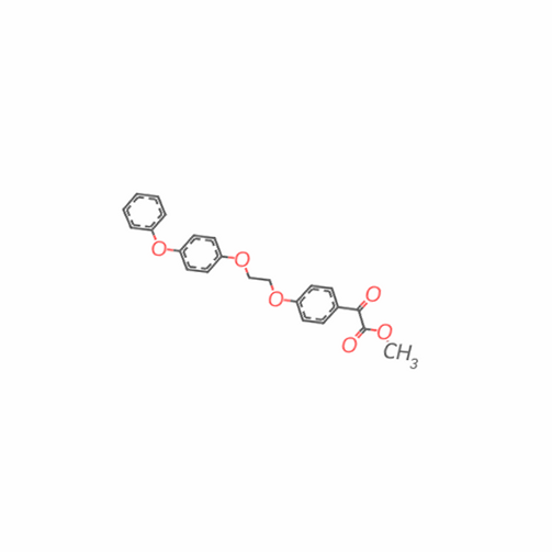 COC(=O)C(=O)c1ccc(OCCOc2ccc(Oc3ccccc3)cc2)cc1